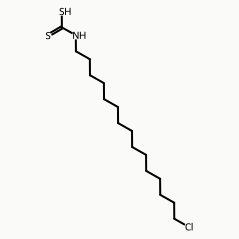 S=C(S)NCCCCCCCCCCCCCCCCl